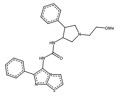 COCCN1CC(NC(=O)Nc2c(-c3ccccc3)nc3sccn23)C(c2ccccc2)C1